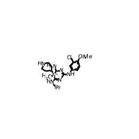 COc1ccc(NC2=NC(N)[N+](C)(C3CCNCC3)C(NC(C)C)=N2)cc1Cl